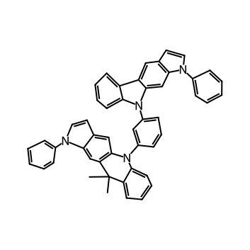 CC1(C)c2ccccc2N(c2cccc(-n3c4ccccc4c4cc5ccn(-c6ccccc6)c5cc43)c2)c2cc3ccn(-c4ccccc4)c3cc21